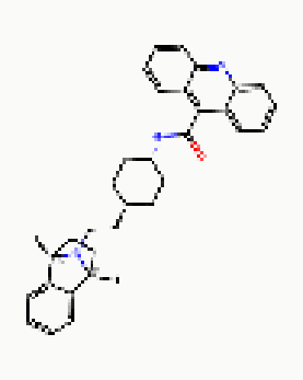 O=C(N[C@H]1CC[C@H](CCN2[C@@H]3CC[C@H]2c2ccccc23)CC1)c1c2ccccc2nc2ccccc12